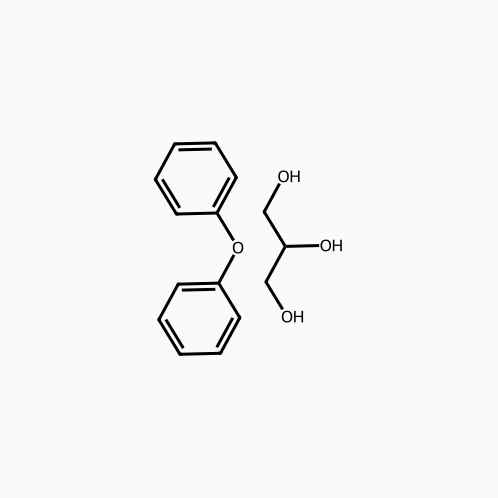 OCC(O)CO.c1ccc(Oc2ccccc2)cc1